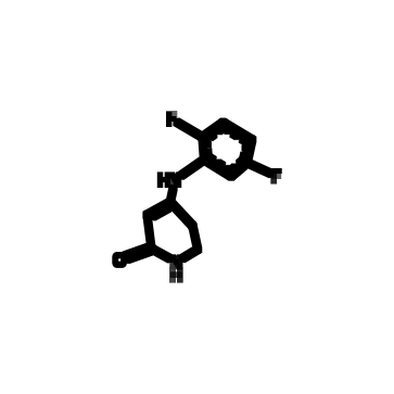 O=C1C=C(Nc2cc(F)ccc2F)CCN1